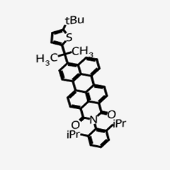 CC(C)c1cccc(C(C)C)c1N1C(=O)c2ccc3c4cccc5c(C(C)(C)c6ccc(C(C)(C)C)s6)ccc(c6ccc(c2c36)C1=O)c54